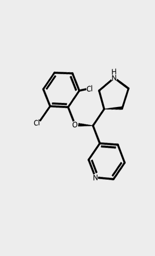 Clc1cccc(Cl)c1O[C@H](c1cccnc1)[C@@H]1CCNC1